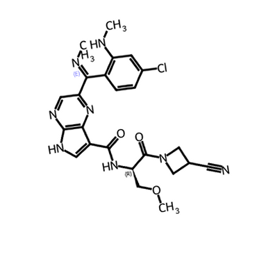 C/N=C(/c1cnc2[nH]cc(C(=O)N[C@H](COC)C(=O)N3CC(C#N)C3)c2n1)c1ccc(Cl)cc1NC